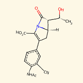 CC(=O)Nc1ccc(C2=C(C(=O)O)N3C(=O)[C@H]([C@@H](C)O)[C@H]3C2)cc1C#N